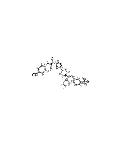 O=C(NCc1ccc(Cl)cc1)c1csc(C2CCN(C(=O)c3ccccc3-c3ccc(C(F)(F)F)cc3)CC2)n1